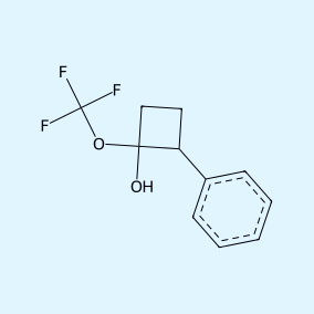 OC1(OC(F)(F)F)CCC1c1ccccc1